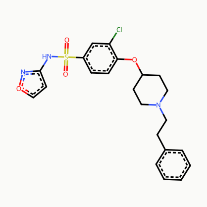 O=S(=O)(Nc1ccon1)c1ccc(OC2CCN(CCc3ccccc3)CC2)c(Cl)c1